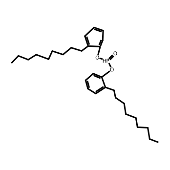 CCCCCCCCCc1ccccc1O[PH](=O)Oc1ccccc1CCCCCCCCC